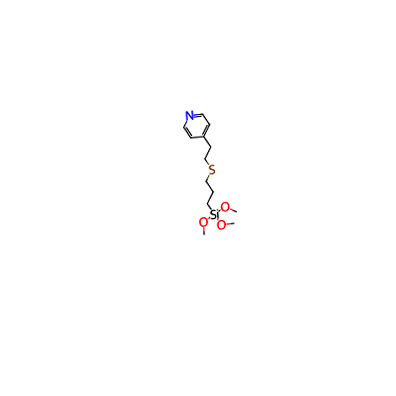 CO[Si](CCCSCCc1ccncc1)(OC)OC